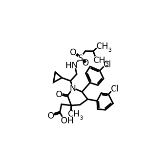 CC(C)CS(=O)(=O)NCC(C1CC1)N1C(=O)C(C)(CC(=O)O)CC(c2cccc(Cl)c2)C1c1ccc(Cl)cc1